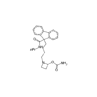 CCCNC(=O)C1(CCCCN2CCC2OC(N)=O)c2ccccc2-c2ccccc21